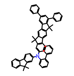 CC1(C)c2ccccc2-c2ccc(N(c3ccc4c(c3)C(C)(C)c3cc5c(cc3-4)C(C)(C)c3c(-c4ccccc4)cc(-c4ccccc4)cc3-5)c3ccccc3-c3ccccc3)cc21